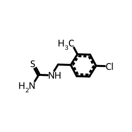 Cc1cc(Cl)ccc1CNC(N)=S